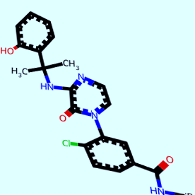 CCC(C)NC(=O)c1ccc(Cl)c(-n2ccnc(NC(C)(C)c3ccccc3O)c2=O)c1